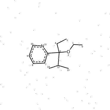 CCOC(CC)(c1ccccn1)C(C)C